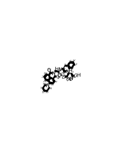 O=C(O)C[C@H](NC(=O)[C@H](Cc1ccccc1)NC(=O)CN1C(=O)c2cccc3c(N4CCCCC4)ccc(c23)C1=O)C(=O)O